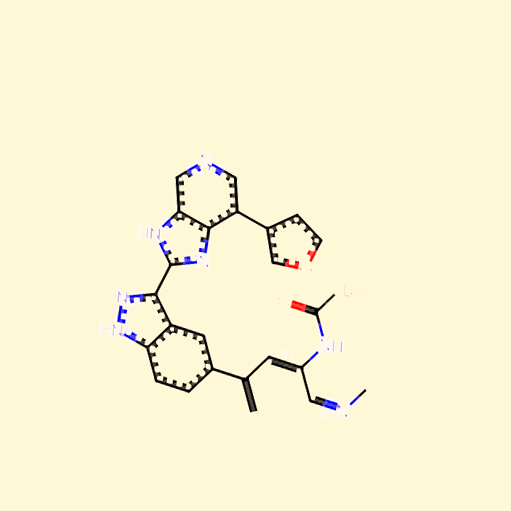 C=C(/C=C(\C=N/C)NC(=O)C(C)(C)C)c1ccc2[nH]nc(-c3nc4c(-c5ccoc5)cncc4[nH]3)c2c1